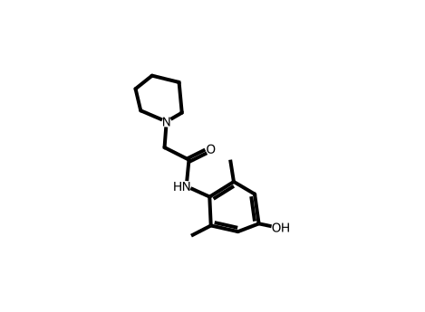 Cc1cc(O)cc(C)c1NC(=O)CN1CCCCC1